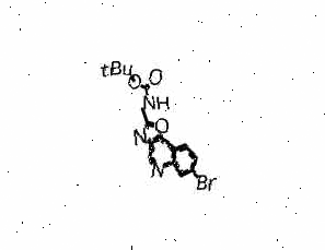 CC(C)(C)OC(=O)NCc1nc2cnc3cc(Br)ccc3c2o1